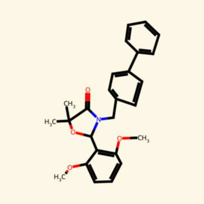 COc1cccc(OC)c1C1OC(C)(C)C(=O)N1Cc1ccc(-c2ccccc2)cc1